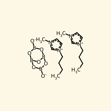 CCCC[n+]1ccn(C)c1.CCCC[n+]1ccn(C)c1.[O-]B1OB2OB([O-])OB(O1)O2